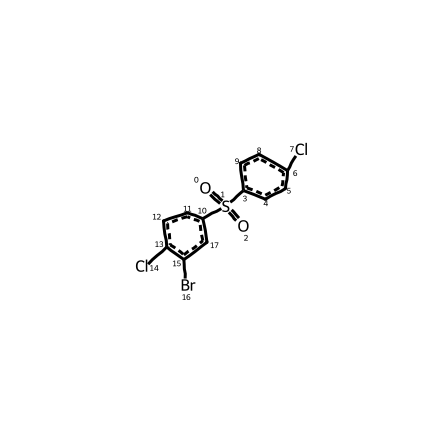 O=S(=O)(c1ccc(Cl)cc1)c1ccc(Cl)c(Br)c1